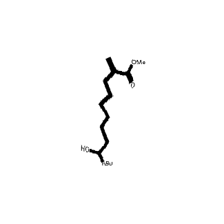 C=C(CCCCCCC(O)CCCC)C(=O)OC